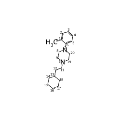 Cc1ccccc1N1CCN(CCC2CC[CH]CC2)CC1